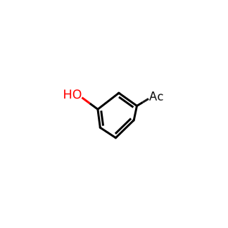 [CH2]C(=O)c1cccc(O)c1